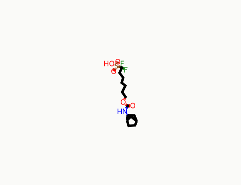 O=C(NC1CC2CCC1C2)OCCCCCCC(F)(F)S(=O)(=O)O